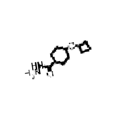 NNC(=O)C1CCC(OC2CCC2)CC1